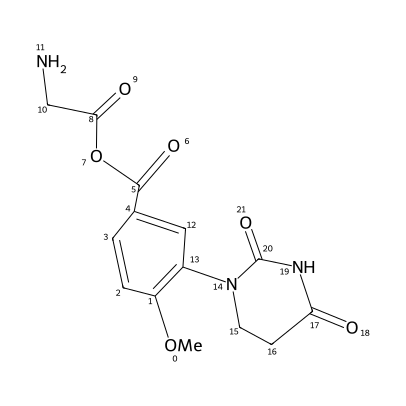 COc1ccc(C(=O)OC(=O)CN)cc1N1CCC(=O)NC1=O